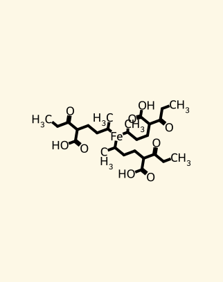 CCC(=O)C(CC[CH](C)[Fe]([CH](C)CCC(C(=O)O)C(=O)CC)[CH](C)CCC(C(=O)O)C(=O)CC)C(=O)O